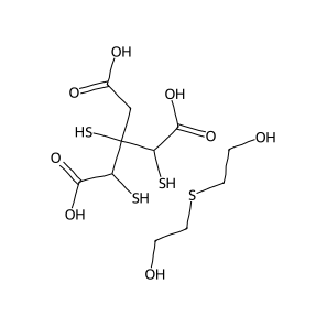 O=C(O)CC(S)(C(S)C(=O)O)C(S)C(=O)O.OCCSCCO